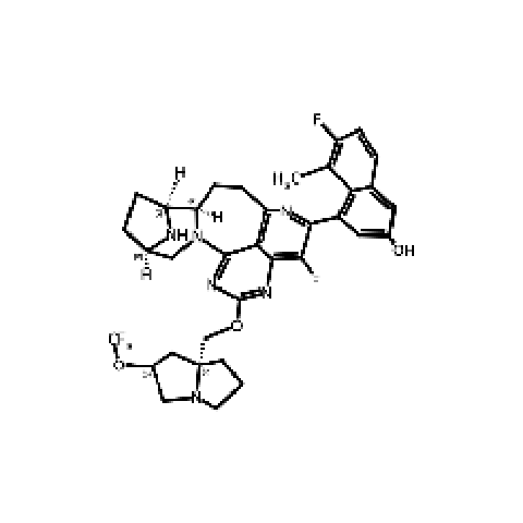 Cc1c(F)ccc2cc(O)cc(-c3nc4c5c(nc(OC[C@]67CCCN6C[C@@H](OC(F)(F)F)C7)nc5c3F)N3C[C@H]5CC[C@H](N5)[C@H]3CC4)c12